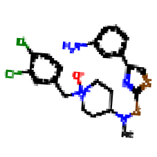 CC(=O)N(Sc1nc(-c2cccc(N)c2)cs1)C1CC[N+]([O-])(Cc2ccc(Cl)c(Cl)c2)CC1